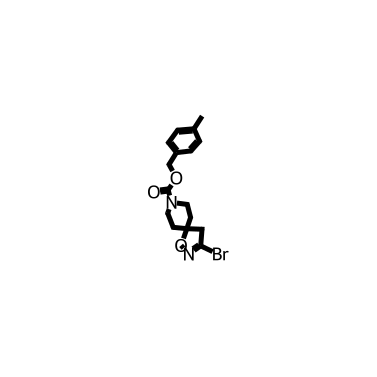 Cc1ccc(COC(=O)N2CCC3(CC2)CC(Br)=NO3)cc1